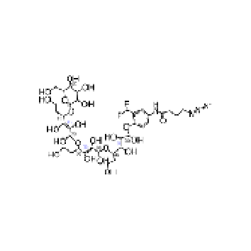 [N-]=[N+]=NCCCC(=O)Nc1ccc(O[C@H](O)/C(O)=C(\O)[C@@H](CCO)O[C@@H](O)/C(O)=C(\O)[C@@H](CCO)O[C@@H](O)/C(O)=C(\O)[C@@H](CCO)O[C@H]2OC(CO)[C@@H](O)C(O)C2O)c(C(F)F)c1